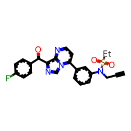 C#CCN(c1cccc(-c2ccnc3c(C(=O)c4ccc(F)cc4)ncn23)c1)S(=O)(=O)CC